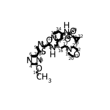 CCOc1cncc(-c2cnc(C(=O)N[C@@H](CCN3CCOCC3)c3cc(NS(=O)(=O)C4CC4)ccn3)s2)n1